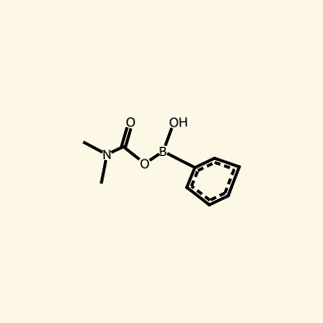 CN(C)C(=O)OB(O)c1ccccc1